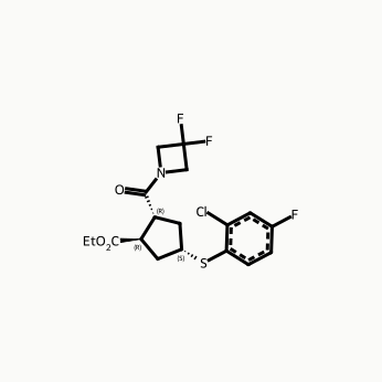 CCOC(=O)[C@@H]1C[C@@H](Sc2ccc(F)cc2Cl)C[C@H]1C(=O)N1CC(F)(F)C1